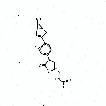 CC(=O)NC[C@H]1CN(c2ccc(C3=CC4C(N)C4C3)c(F)c2)C(=O)O1